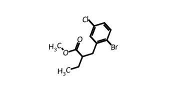 CCC(Cc1cc(Cl)ccc1Br)C(=O)OC